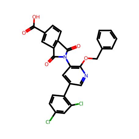 O=C(O)c1ccc2c(c1)C(=O)N(c1cc(-c3ccc(Cl)cc3Cl)cnc1OCc1ccccc1)C2=O